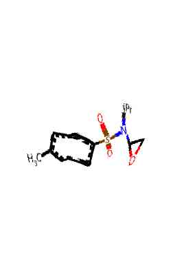 Cc1ccc(S(=O)(=O)N(C(C)C)C2CO2)cc1